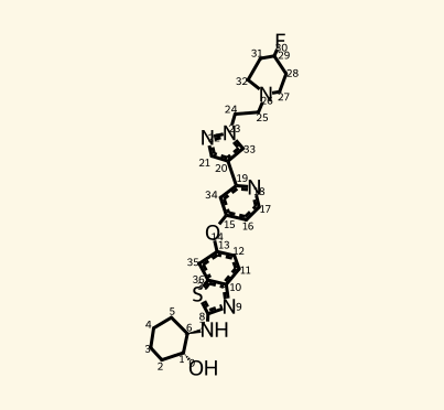 O[C@@H]1CCCC[C@H]1Nc1nc2ccc(Oc3ccnc(-c4cnn(CCN5CCC(F)CC5)c4)c3)cc2s1